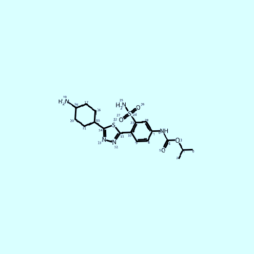 CC(C)OC(=O)Nc1ccc(-c2nnc(C3CCC(N)CC3)s2)c(S(N)(=O)=O)c1